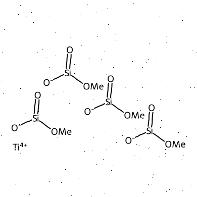 CO[Si](=O)[O-].CO[Si](=O)[O-].CO[Si](=O)[O-].CO[Si](=O)[O-].[Ti+4]